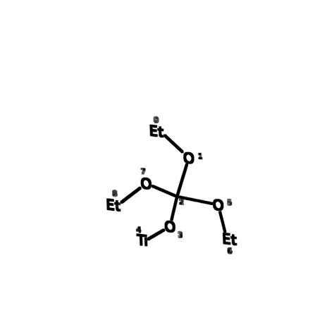 CCOC([O][Ti])(OCC)OCC